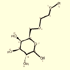 CC(C)OCCOC[C@H]1OC(O)[C@H](O)[C@@H](O)[C@H]1O